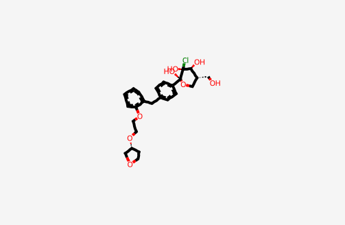 OC[C@@H]1CO[C@](O)(c2ccc(Cc3ccccc3OCCO[C@@H]3CCOC3)cc2)[C@](O)(Cl)[C@H]1O